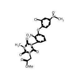 COC(=O)Cn1c(=O)n(C)c(=O)n(-c2cccc(Oc3ccc([S+](C)[O-])cc3Cl)c2[N+](=O)[O-])c1=O